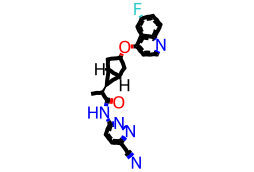 CC(C(=O)Nc1ccc(C#N)nn1)[C@H]1[C@@H]2CC(Oc3ccnc4ccc(F)cc34)C[C@@H]21